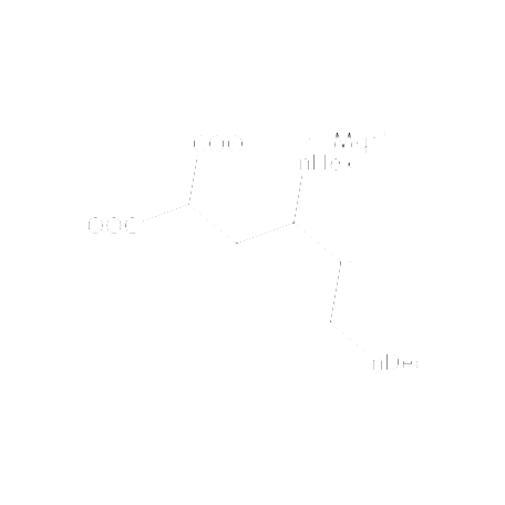 CCCCCCCCCCCCC(CCCCCC)CC(C(=O)[O-])C(=O)[O-].[Mg+2]